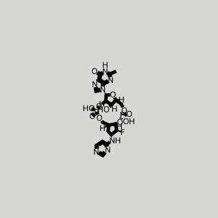 Cc1nc2c(ncn2[C@@H]2O[C@@H]3COP(=O)(O)O[C@@H]4[C@@H](COP(=O)(O)O[C@@H]2[C@@H]3O)C[C@@H](Nc2ccncn2)[C@@H]4F)c(=O)[nH]1